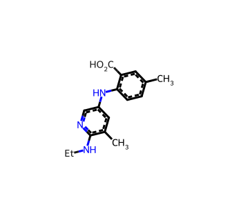 CCNc1ncc(Nc2ccc(C)cc2C(=O)O)cc1C